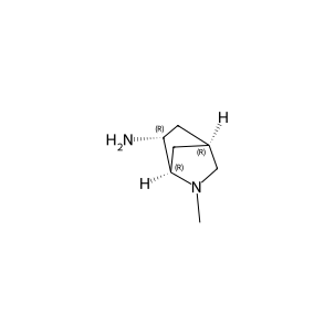 CN1C[C@@H]2C[C@@H](N)[C@H]1C2